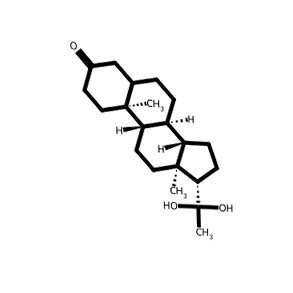 CC(O)(O)[C@H]1CC[C@H]2[C@@H]3CCC4CC(=O)CC[C@]4(C)[C@H]3CC[C@]12C